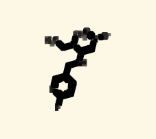 CCN(C)C(=C[N+](=O)[O-])NCc1ccc(F)nc1